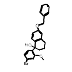 COc1cc(Br)ccc1C1(O)CCCc2cc(OCc3ccccc3)ccc21